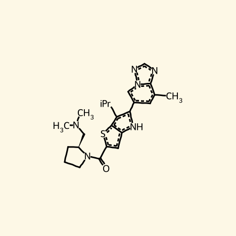 Cc1cc(-c2[nH]c3cc(C(=O)N4CCC[C@H]4CN(C)C)sc3c2C(C)C)cn2ncnc12